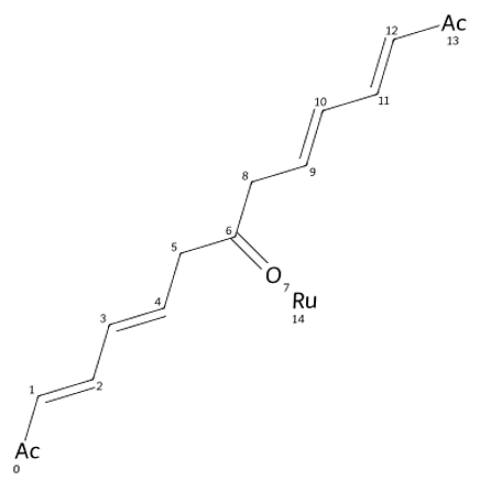 CC(=O)C=CC=CCC(=O)CC=CC=CC(C)=O.[Ru]